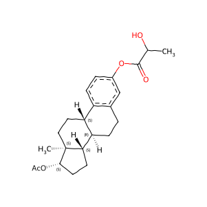 CC(=O)O[C@H]1CC[C@H]2[C@@H]3CCc4cc(OC(=O)C(C)O)ccc4[C@H]3CC[C@]12C